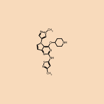 Cc1cc(Nc2nc(OC3CCNCC3)c3c(ccn3-c3cnn(C)c3)n2)sn1